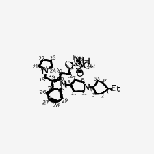 CCC1CCC(N2CCC(n3c(CCOS(N)(=O)=O)c(CN4CCCC4)c4ccccc43)CC2)CC1